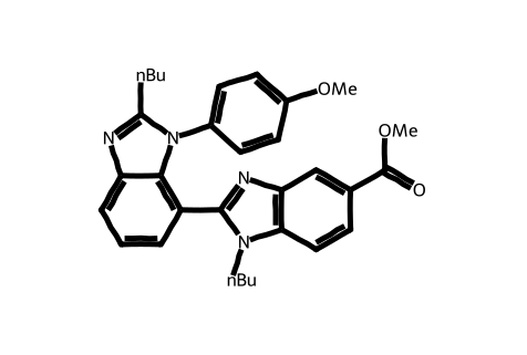 CCCCc1nc2cccc(-c3nc4cc(C(=O)OC)ccc4n3CCCC)c2n1-c1ccc(OC)cc1